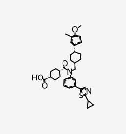 COc1ccc([C@H]2CC[C@H](CN(c3cccc(-c4cnc(C5CC5)s4)c3)C(=O)[C@H]3CC[C@H](C(=O)O)CC3)CC2)cc1C